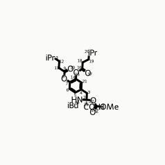 CCC(C)N[C@@](Cc1ccc(OC(=O)CCC(C)C)c(OC(=O)CCC(C)C)c1)(OC(=O)OC)C(=O)O